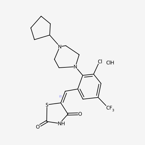 Cl.O=C1NC(=O)/C(=C\c2cc(C(F)(F)F)cc(Cl)c2N2CCN(C3CCCC3)CC2)S1